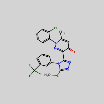 CSc1nnc(-c2nn(-c3ccccc3Cl)c(C)cc2=O)n1-c1cccc(C(F)(F)F)c1